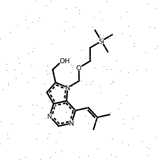 CC(C)=Cc1ncnc2cc(CO)n(COCC[Si](C)(C)C)c12